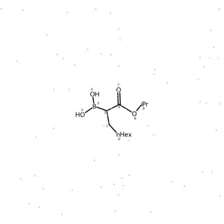 CCCCCCCC(B(O)O)C(=O)OC(C)C